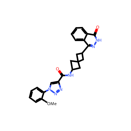 COc1ccccc1-n1cc(C(=O)NC2CC3(C2)CC(c2n[nH]c(=O)c4ccccc24)C3)nn1